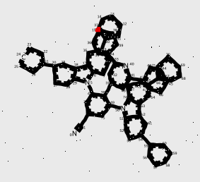 N#Cc1cc(-n2c3ccc(-c4ccccc4)cc3c3cc(-c4ccccc4)ccc32)c(-c2cc(-c3ccccc3)nc(-c3ccccc3)c2)c(-n2c3ccc(-c4ccccc4)cc3c3cc(-c4ccccc4)ccc32)c1